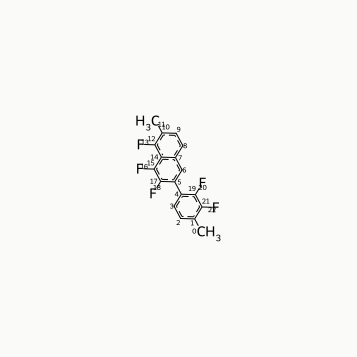 Cc1ccc(-c2cc3ccc(C)c(F)c3c(F)c2F)c(F)c1F